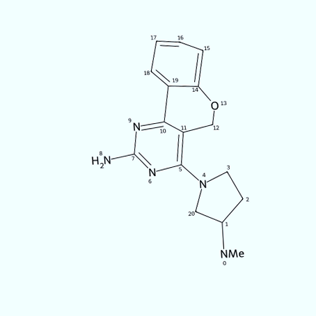 CNC1CCN(c2nc(N)nc3c2COc2ccccc2-3)C1